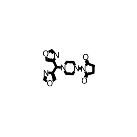 O=C1CCC(=O)N1N1CCN(C(c2cocn2)c2cocn2)CC1